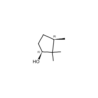 C[C@@H]1CC[C@H](O)C1(C)C